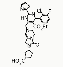 CCOC(=O)C1=C(CN2C=C3CN([C@H]4CC[C@@H](C(=O)O)C4)C(=O)N3CC2)NC(c2nccs2)=NC1c1cccc(F)c1Cl